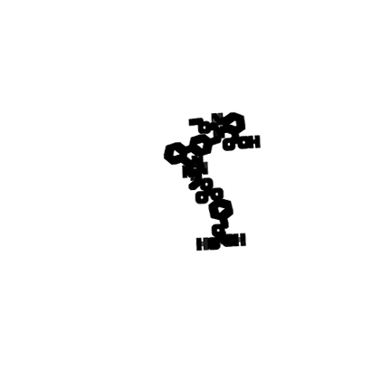 CCOc1nc2cccc(C(=O)O)c2n1Cc1ccc(-c2ccccc2-c2nnn(C(C)OC(=O)Oc3ccc(CON(O)O)cc3)n2)cc1